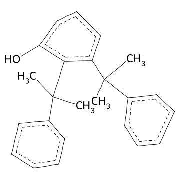 CC(C)(c1ccccc1)c1cccc(O)c1C(C)(C)c1ccccc1